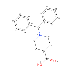 O=C(O)C1CCN(C(c2ccccc2)c2ccccc2)CC1